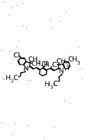 CCCCN1/C(=C/C=C2\CCCC(/C=C/C3=[N+](CCCC)c4ccc(C)cc4C3(C)C)=C2Cl)C(C)(C)c2cc(Cl)ccc21